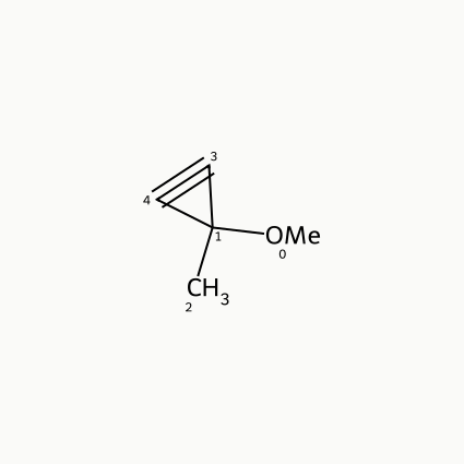 COC1(C)C#C1